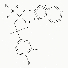 Cc1cc(C(C)(C)CC(O)(Cc2cc3ccccc3[nH]2)C(F)(F)F)ccc1F